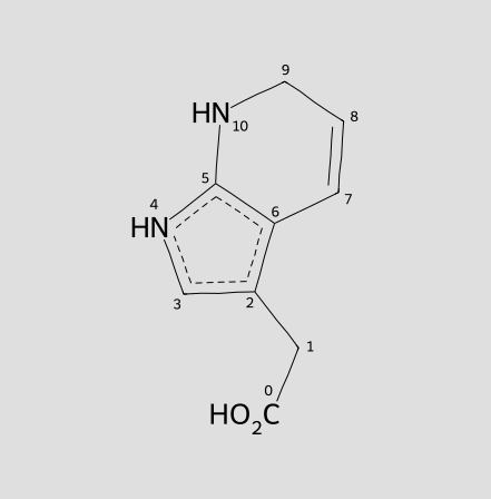 O=C(O)Cc1c[nH]c2c1C=CCN2